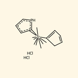 Cl.Cl.[CH3][Zr]([CH3])([CH3])([CH3])([CH3])([CH3])([CH3])([CH3])([CH3])([C]1=CC=CC1)[c]1ccc[pH]1